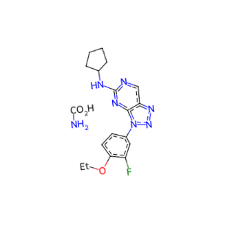 CCOc1ccc(-n2nnc3cnc(NC4CCCC4)nc32)cc1F.NC(=O)O